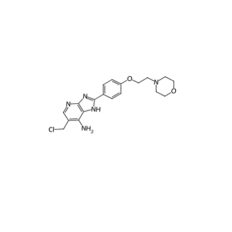 Nc1c(CCl)cnc2nc(-c3ccc(OCCN4CCOCC4)cc3)[nH]c12